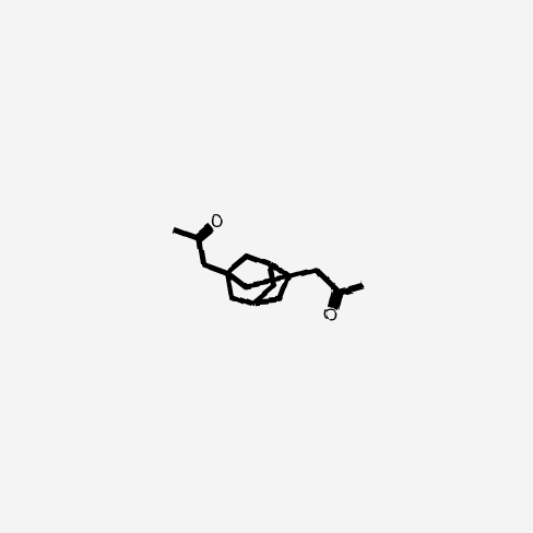 CC(=O)CC12CC3CC(C1)C(CC(C)=O)(C3)C2